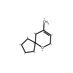 CC1=CCOC2(CCCC2)C1